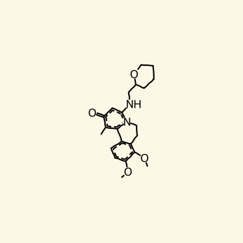 COc1ccc2c(c1OC)CCn1c(NCC3CCCCO3)cc(=O)c(C)c1-2